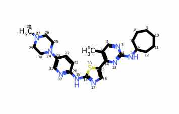 Cc1cnc(NC2CCCCCC2)nc1-c1cnc(Nc2ccc(N3CCN(C)CC3)cn2)s1